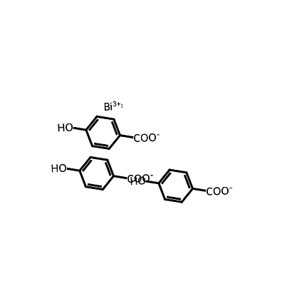 O=C([O-])c1ccc(O)cc1.O=C([O-])c1ccc(O)cc1.O=C([O-])c1ccc(O)cc1.[Bi+3]